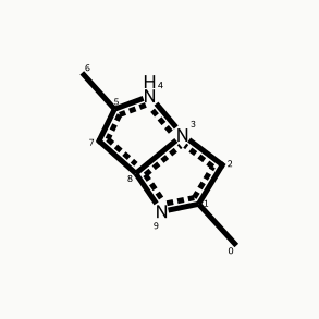 Cc1cn2[nH]c(C)cc2n1